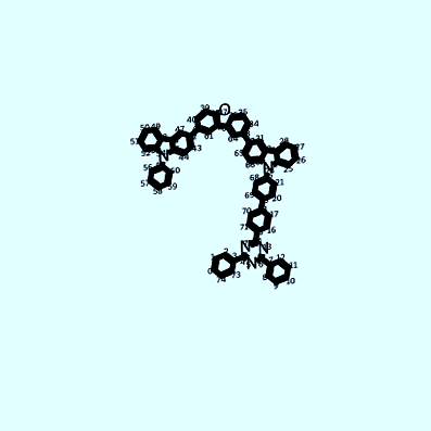 c1ccc(-c2nc(-c3ccccc3)nc(-c3ccc(-c4ccc(-n5c6ccccc6c6cc(-c7ccc8oc9ccc(-c%10ccc%11c(c%10)c%10ccccc%10n%11-c%10ccccc%10)cc9c8c7)ccc65)cc4)cc3)n2)cc1